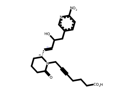 O=C(O)CCCC#CCN1C(=O)CCC[C@@H]1/C=C/C(O)Cc1ccc([N+](=O)[O-])nc1